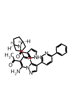 CC(=O)c1c([C@H]2C[C@H]3CC[C@@H](C2)N3C(=O)c2cc[nH]c2)nc2c(-c3ccc(-c4ccccc4)nc3)cnn2c1N